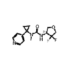 CN(C(=O)N[C@H]1COCC1(F)F)C1(c2ccncc2)CC1